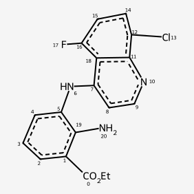 CCOC(=O)c1cccc(Nc2ccnc3c(Cl)ccc(F)c23)c1N